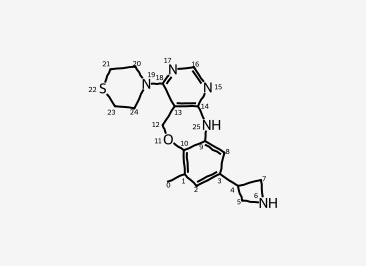 Cc1cc(C2CNC2)cc2c1OCc1c(ncnc1N1CCSCC1)N2